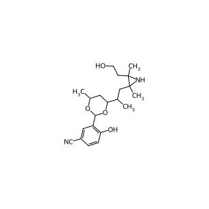 CC1CC(C(C)CC2(C)NC2(C)CCO)OC(c2cc(C#N)ccc2O)O1